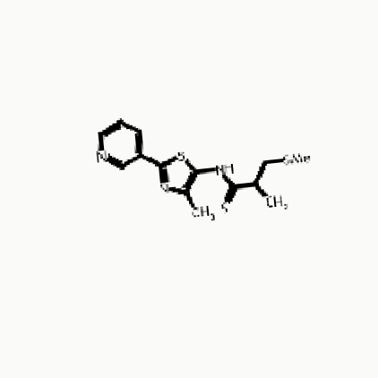 CSCC(C)C(=S)Nc1sc(-c2cccnc2)nc1C